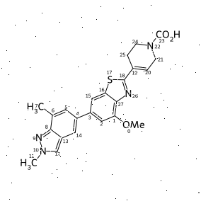 COc1cc(-c2cc(C)c3nn(C)cc3c2)cc2sc(C3=CCN(C(=O)O)CC3)nc12